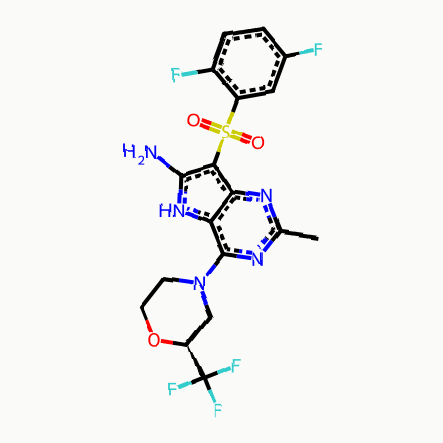 Cc1nc(N2CCO[C@H](C(F)(F)F)C2)c2[nH]c(N)c(S(=O)(=O)c3cc(F)ccc3F)c2n1